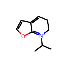 CC(C)[N+]1=c2occc2=CCC1